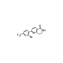 O=C1NCCc2nc(-c3ccc(C(F)(F)F)cc3Br)ccc21